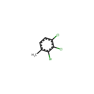 Cc1ccc(Cl)c(Cl)c1Br